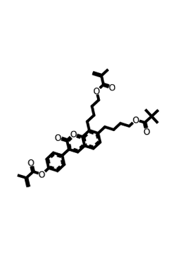 C=C(C)C(=O)OCCCCc1c(CCCCOC(=O)C(C)(C)C)ccc2cc(-c3ccc(OC(=O)C(=C)C)cc3)c(=O)oc12